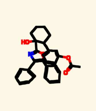 CC(=O)Oc1cccc(C2CCCCC2(O)c2nc(-c3ccccc3)c(-c3ccccc3)o2)c1